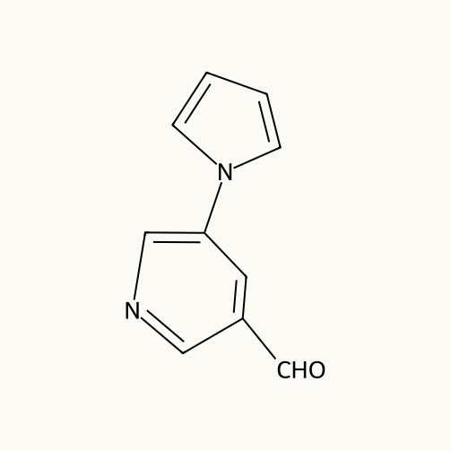 O=Cc1cncc(-n2cccc2)c1